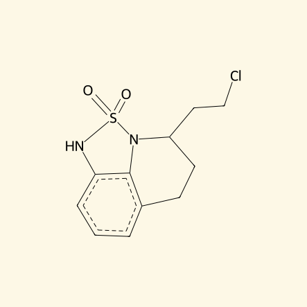 O=S1(=O)Nc2cccc3c2N1C(CCCl)CC3